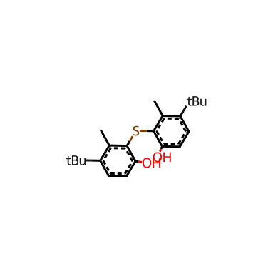 Cc1c(C(C)(C)C)ccc(O)c1Sc1c(O)ccc(C(C)(C)C)c1C